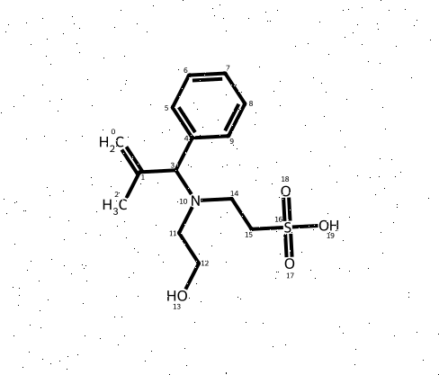 C=C(C)C(c1ccccc1)N(CCO)CCS(=O)(=O)O